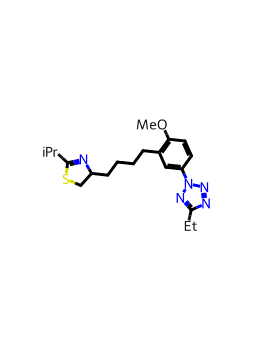 CCc1nnn(-c2ccc(OC)c(CCCCC3CSC(C(C)C)=N3)c2)n1